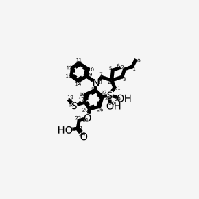 CCCCC1(CC)CN(c2ccccc2)c2cc(SC)c(OCC(=O)O)cc2S(O)(O)C1